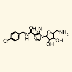 NCC1OC(n2cnc(C(=O)NCc3ccc(Cl)cc3)c2N)C(O)C1O